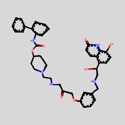 O=C(CNCCN1CCC(OC(=O)Nc2ccccc2-c2ccccc2)CC1)COc1cccc(CNCC(O)c2ccc(O)c3[nH]c(=O)ccc23)c1